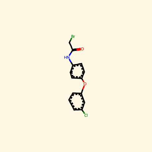 O=C(CBr)Nc1ccc(Oc2cccc(Cl)c2)cc1